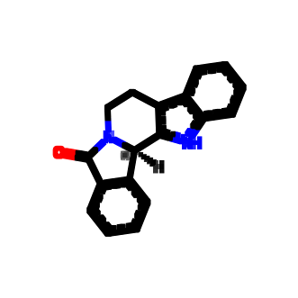 O=C1c2ccccc2[C@@H]2c3[nH]c4ccccc4c3CCN12